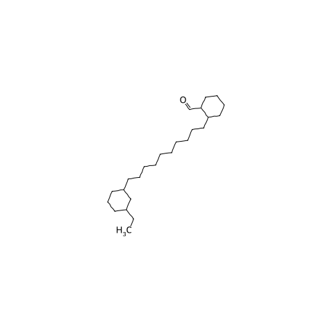 CCC1CCCC(CCCCCCCCCCC2CCCCC2C=O)C1